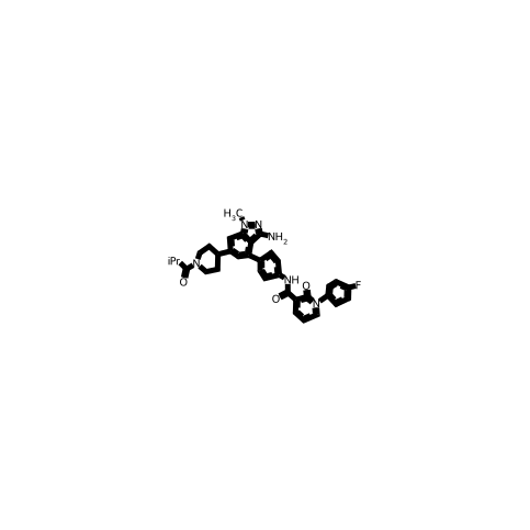 CC(C)C(=O)N1CCC(c2cc(-c3ccc(NC(=O)c4cccn(-c5ccc(F)cc5)c4=O)cc3)c3c(N)nn(C)c3c2)CC1